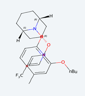 CCCCOc1cc(C)ccc1O[C@H]1C[C@H]2CCC[C@@H](C1)N2Oc1ccc(C(F)(F)F)cn1